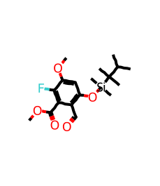 COC(=O)c1c(F)c(OC)cc(O[Si](C)(C)C(C)(C)C(C)C)c1C=O